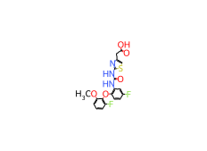 COc1cccc(F)c1Oc1ccc(F)cc1NC(=O)Nc1nc(CC(=O)O)cs1